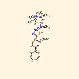 COc1cc(C2=CC=CCC=C2)ccc1-c1nnc(N(C)C2CC(C)(C)NC(C)(C)C2)s1